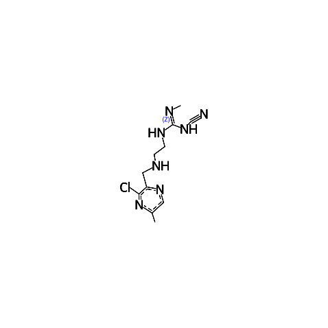 C/N=C(\NC#N)NCCNCc1ncc(C)nc1Cl